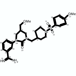 COCC1CN(CC2CCN(S(=O)(=O)c3ccc(OC)cc3)CC2)C(=O)N(c2cccc(C(=N)N)c2)C1